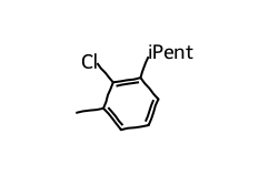 [CH2]C(CCC)c1cccc(C)c1Cl